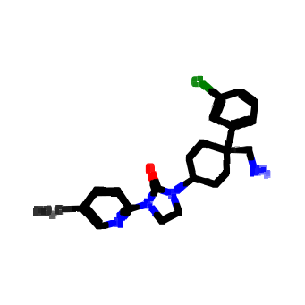 NC[C@]1(c2cccc(Cl)c2)CC[C@H](N2CCN(c3ccc(C(=O)O)cn3)C2=O)CC1